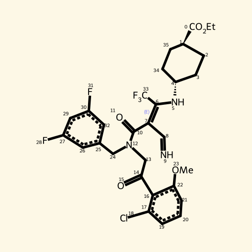 CCOC(=O)[C@H]1CC[C@H](N/C(=C(\C=N)C(=O)N(CC(=O)c2c(Cl)cccc2OC)Cc2cc(F)cc(F)c2)C(F)(F)F)CC1